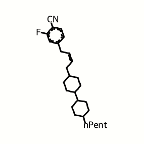 CCCCCC1CCC(C2CCC(C/C=C\Cc3ccc(C#N)c(F)c3)CC2)CC1